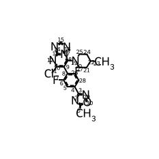 Cc1nc(-c2cc(F)c(-c3c(Cl)nc4ncnn4c3N3CCC(C)CC3)c(F)c2)no1